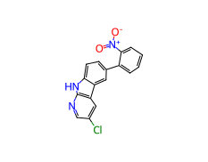 O=[N+]([O-])c1ccccc1-c1ccc2[nH]c3ncc(Cl)cc3c2c1